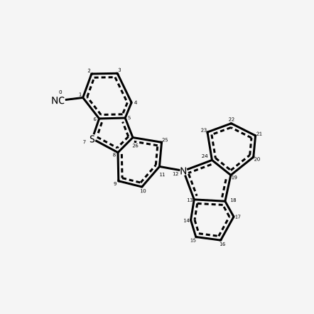 N#Cc1cccc2c1sc1ccc(-n3c4ccccc4c4ccccc43)cc12